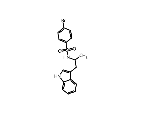 CC(Cc1c[nH]c2ccccc12)NS(=O)(=O)c1ccc(Br)cc1